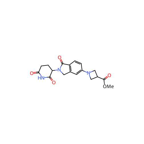 COC(=O)C1CN(c2ccc3c(c2)CN(C2CCC(=O)NC2=O)C3=O)C1